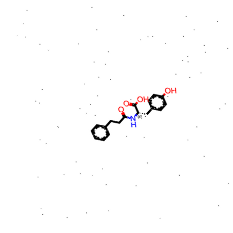 O=C(CCc1ccccc1)N[C@@H](Cc1ccc(O)cc1)C(=O)O